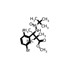 COC(=O)C(C)(C)[C@](C)(N[S@@+]([O-])C(C)(C)C)c1cc(Br)ccc1F